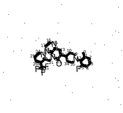 Cc1cccc(F)c1N1CCC(c2cc3nccnc3n(Cc3ncccc3C(F)(F)F)c2=O)CC1